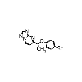 CC(Oc1ccc(Br)cc1)c1ccn2ncnc2n1